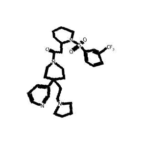 O=C(CC1CCCCN1S(=O)(=O)c1cccc(C(F)(F)F)c1)N1CCC(CCN2CCCC2)(c2cccnc2)CC1